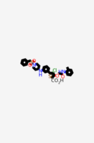 Cc1ccccc1NC(=O)COc1c(C(=O)O)sc(-c2cccc(NC3CCN(S(=O)(=O)Cc4ccccc4)CC3)c2)c1Cl